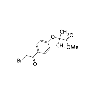 COC(=O)C(C)(C)Oc1ccc(C(=O)CBr)cc1